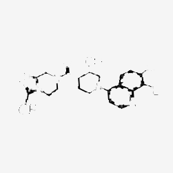 C[C@@H]1CN(c2ccnc3c(Cl)c(Cl)ccc23)CC[C@@H]1C(=O)N1CCn2c(nnc2C(F)(F)F)C1